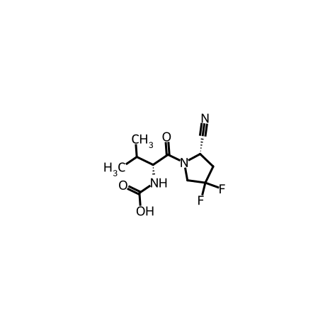 CC(C)[C@@H](NC(=O)O)C(=O)N1CC(F)(F)C[C@H]1C#N